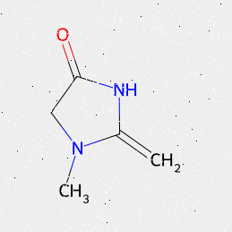 C=C1NC(=O)CN1C